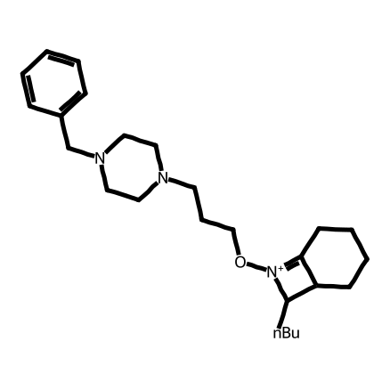 CCCCC1C2CCCCC2=[N+]1OCCCN1CCN(Cc2ccccc2)CC1